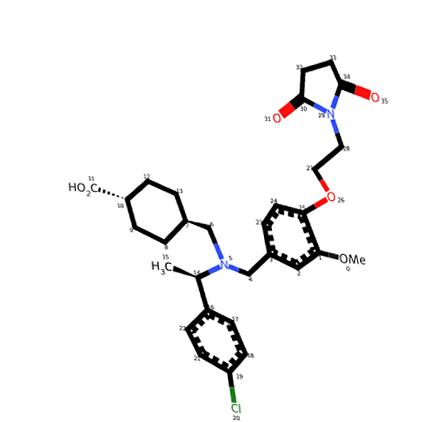 COc1cc(CN(C[C@H]2CC[C@H](C(=O)O)CC2)[C@H](C)c2ccc(Cl)cc2)ccc1OCCN1C(=O)CCC1=O